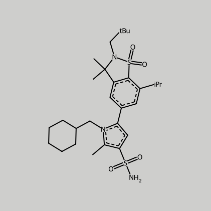 Cc1c(S(N)(=O)=O)cc(-c2cc(C(C)C)c3c(c2)C(C)(C)N(CC(C)(C)C)S3(=O)=O)n1CC1CCCCC1